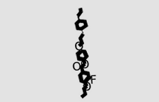 CCCOc1ccc(C(=O)Oc2ccc(OCCC[C@H]3CC[C@H](CCC)CC3)cc2)cc1F